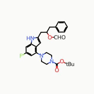 CC(C)(C)OC(=O)N1CCN(c2cc(F)cc3[nH]c(CC(Cc4ccccc4)OC=O)cc23)CC1